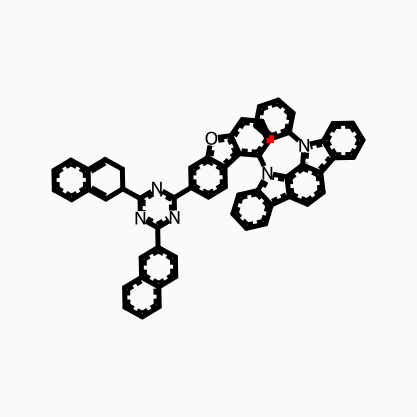 C1=c2ccccc2=CC(c2nc(-c3ccc4ccccc4c3)nc(-c3ccc4c(c3)oc3cccc(-n5c6ccccc6c6ccc7c8ccccc8n(-c8ccccc8)c7c65)c34)n2)C1